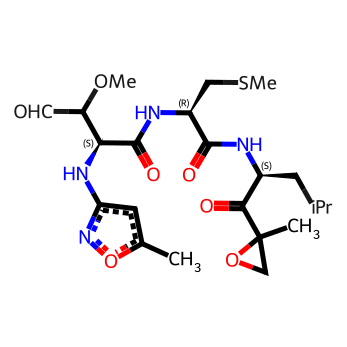 COC(C=O)[C@H](Nc1cc(C)on1)C(=O)N[C@@H](CSC)C(=O)N[C@@H](CC(C)C)C(=O)C1(C)CO1